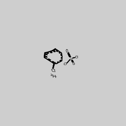 Clc1ccccc1.O=S(=O)(Cl)Cl.[2H]